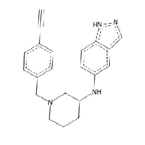 C#Cc1ccc(CN2CCCC(Nc3ccc4[nH]ncc4c3)C2)cc1